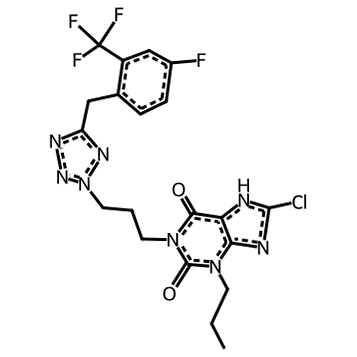 CCCn1c(=O)n(CCCn2nnc(Cc3ccc(F)cc3C(F)(F)F)n2)c(=O)c2[nH]c(Cl)nc21